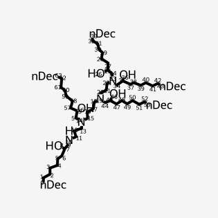 CCCCCCCCCCCCCCCCC(O)CNCCCN(CCCCN(CCCN(CC(O)CCCCCCCCCCCCCCCC)CC(O)CCCCCCCCCCCCCCCC)CC(O)CCCCCCCCCCCCCCCC)CC(O)CCCCCCCCCCCCCCCC